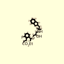 CCOC(=O)CCc1c(F)cccc1C(C)OCC(O)CNC(C)(C)CC1Cc2ccccc2C1